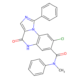 CN(C(=O)c1cc2[nH]c(=O)c3cnc(-c4ccccc4)n3c2cc1Cl)c1ccccc1